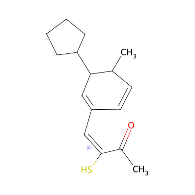 CC(=O)/C(S)=C\C1=CC(C2CCCC2)C(C)C=C1